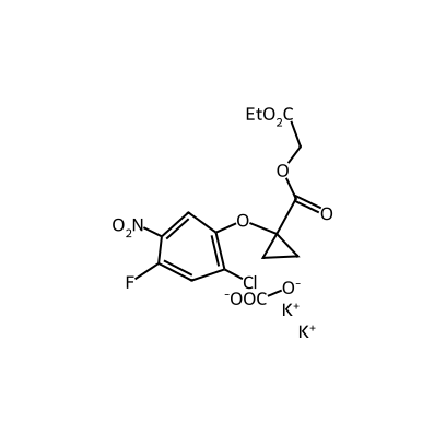 CCOC(=O)COC(=O)C1(Oc2cc([N+](=O)[O-])c(F)cc2Cl)CC1.O=C([O-])[O-].[K+].[K+]